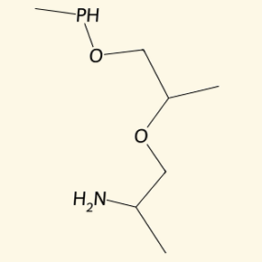 CPOCC(C)OCC(C)N